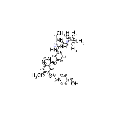 CCC/C=C(\NC(=N)/C=C(\O)C(C)(C)C)Nc1cccc(Oc2ncnc3cc(OC)c(OCCN4CCC(CO)CC4)cc23)c1